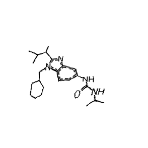 CC(C)NC(=O)Nc1ccc2c(c1)nc(C(C)C(C)C)n2CC1CCCCC1